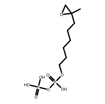 CC1(CCCCCCOP(=O)(O)OP(=O)(O)O)CO1